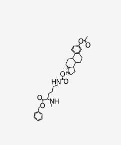 CNC(CCCCNC(=O)O[C@H]1CCC2C3CCc4cc(OC(C)=O)ccc4C3CC[C@@]21C)C(=O)OCc1ccccc1